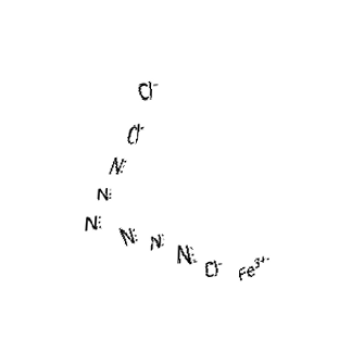 [Cl-].[Cl-].[Cl-].[Fe+3].[N].[N].[N].[N].[N].[N]